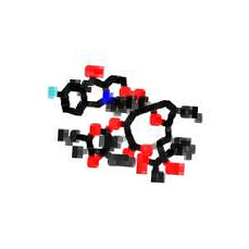 CC[C@@H](O)[C@@](C)(O)[C@@H]1OC(=O)[C@H](C)[C@@H](O[C@H]2CC3(OC)O[C@H]3C(C)O2)[C@H](C)[C@@H](OO/C=C\C(C(C)O)N(C)Cc2ccc(F)cc2)[C@@]2(C)CC(C)C(O2)[C@@H]1C